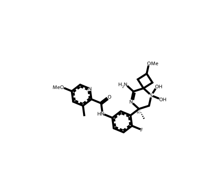 COc1cnc(C(=O)Nc2ccc(F)c([C@]3(C)CS(O)(O)C4(CC(OC)C4)C(N)=N3)c2)c(C)c1